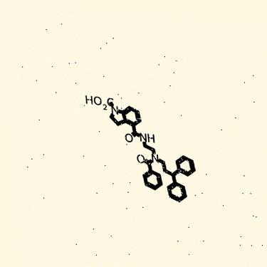 O=C(NCCN(CCC(c1ccccc1)c1ccccc1)C(=O)c1ccccc1)c1cccc2c1CCN2C(=O)O